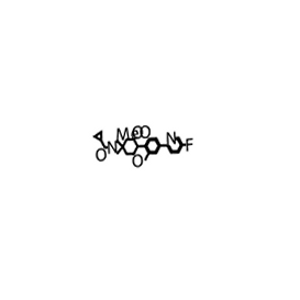 COc1cc(-c2ccc(F)cn2)cc(C)c1C1C(=O)CC2(CC1=O)CN(C(=O)C1CC1)C2